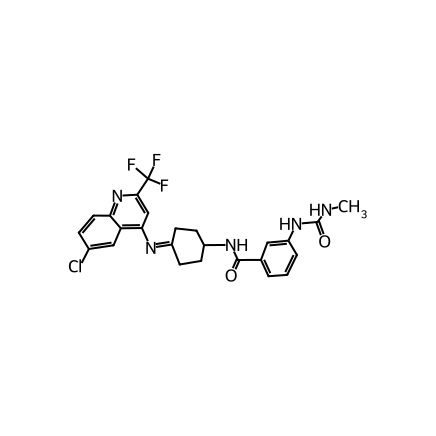 CNC(=O)Nc1cccc(C(=O)NC2CCC(=Nc3cc(C(F)(F)F)nc4ccc(Cl)cc34)CC2)c1